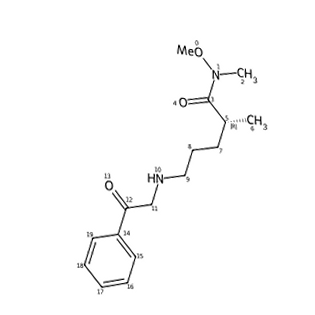 CON(C)C(=O)[C@H](C)CCCNCC(=O)c1ccccc1